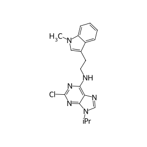 CC(C)n1cnc2c(NCCc3cn(C)c4ccccc34)nc(Cl)nc21